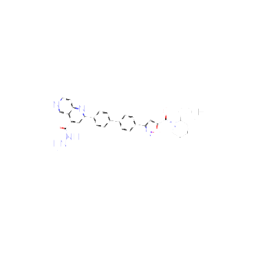 NNC(=O)c1cc(-c2ccc(-c3ccc(-c4cc(C(=O)N5CCCCC5C(=O)O)on4)cc3)cc2)nc2ccncc12